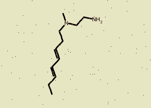 CCC=CC=CCCN(C)CCN